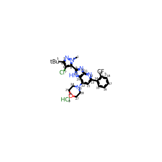 Cl.Cn1nc(C(C)(C)C)c(Cl)c1-c1nc2nc(-c3ccccc3C(F)(F)F)cc(N3CCOCC3)c2[nH]1